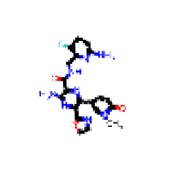 Cn1cc(-c2nc(C(=O)NCc3nc(N)ccc3F)c(N)nc2-c2ncco2)ccc1=O